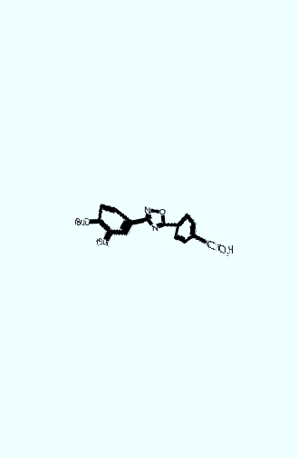 CC(C)COc1ccc(-c2noc(-c3ccc(C(=O)O)cc3)n2)cc1C(C)(C)C